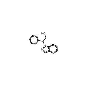 OCC(c1ccccc1)n1ncc2ncccc21